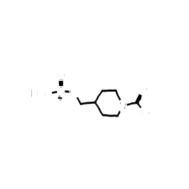 CS(=O)(=O)OCC1CCN(C(=O)O)CC1